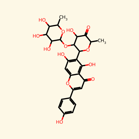 CC1OC(c2c(O)cc3oc(-c4ccc(O)cc4)cc(=O)c3c2O)C(OC2OC(C)C(O)C(O)C2O)C(O)C1=O